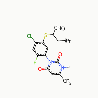 CC(C)CC(C=O)Sc1cc(-n2c(=O)cc(C(F)(F)F)n(C)c2=O)c(F)cc1Cl